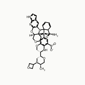 C[C@@H]1CO[C@@H]([C@@H]2COc3cc(S(=O)(=O)C4(N5c6cc7cc[nH]c7nc6O[C@H]6COCC[C@H]65)C=CC=CC4C(N)=O)cc([N+](=O)[O-])c3N2)CN1C1COC1